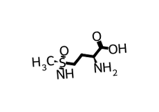 C[S@](=N)(=O)CC[C@H](N)C(=O)O